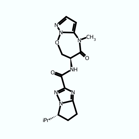 CC(C)[C@H]1CCc2nc(C(=O)N[C@H]3COn4nccc4N(C)C3=O)nn21